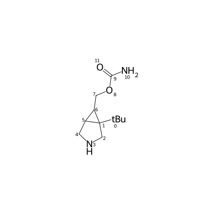 CC(C)(C)C12CNCC1C2COC(N)=O